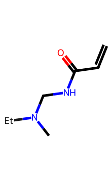 C=CC(=O)NCN(C)CC